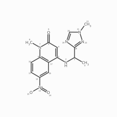 CC(Nc1cc(=O)n(C)c2ccc([N+](=O)[O-])cc12)c1ncn(C)n1